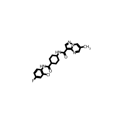 Cc1cnc2c(C(=O)NC3CCC(C(=O)Nc4ccc(F)cc4Cl)CC3)cnn2c1